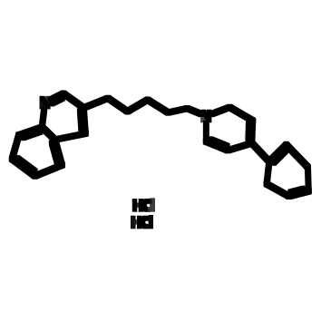 C1=CCC(C2=CCN(CCCCCc3cnc4ccccc4c3)C=C2)=CC1.Cl.Cl